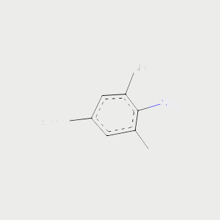 CCCc1cc(C(=O)OCC)cc(CCC)c1N